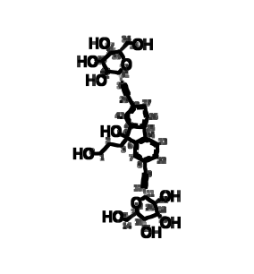 OCCCC1(O)c2cc(C#C[C@H]3O[C@H](CO)[C@@H](O)[C@H](O)[C@@H]3O)ccc2-c2ccc(C#C[C@H]3O[C@H](CO)[C@@H](O)[C@H](O)[C@@H]3O)cc21